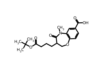 CN1C(=O)C(CCCC(=O)OC(C)(C)C)COc2ccc(C(=O)O)cc21